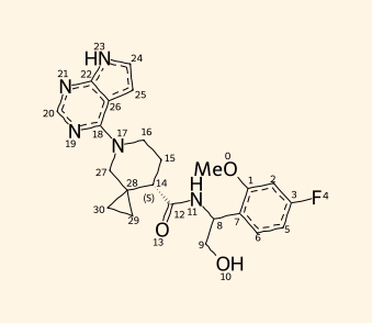 COc1cc(F)ccc1C(CO)NC(=O)[C@H]1CCN(c2ncnc3[nH]ccc23)CC12CC2